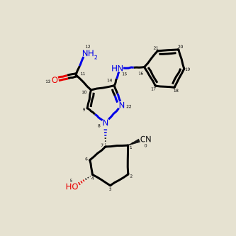 N#C[C@H]1CC[C@H](O)C[C@@H]1n1cc(C(N)=O)c(Nc2ccccc2)n1